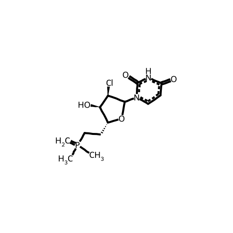 C=P(C)(C)CC[C@H]1OC(n2ccc(=O)[nH]c2=O)[C@H](Cl)[C@@H]1O